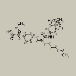 CCCCCCCN(CCc1ccc(C[C@H](OCC)C(=O)O)cc1)C(=O)Nc1ccc(C(C)(C)C)cc1